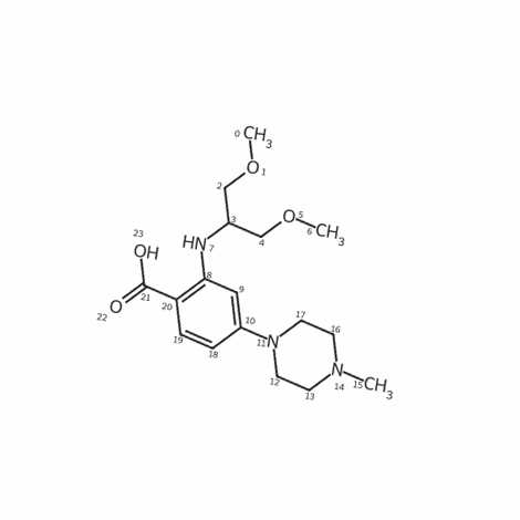 COCC(COC)Nc1cc(N2CCN(C)CC2)ccc1C(=O)O